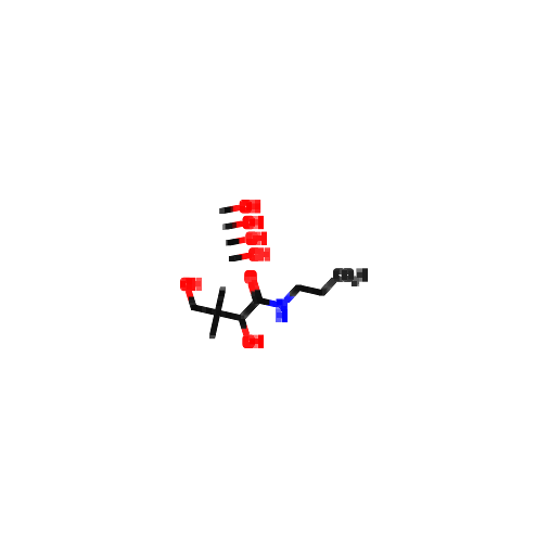 CC(C)(CO)C(O)C(=O)NCCC(=O)O.CO.CO.CO.CO